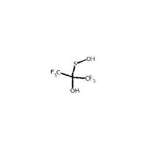 OSC(O)(C(F)(F)F)C(F)(F)F